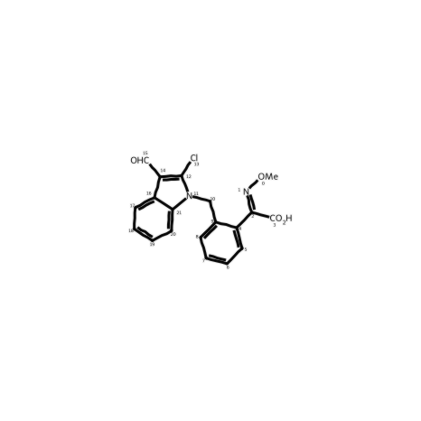 CON=C(C(=O)O)c1ccccc1Cn1c(Cl)c(C=O)c2ccccc21